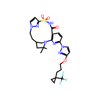 CC1(C)CC2CCn3ccc(n3)S(=O)(=O)NC(=O)c3ccc(-n4ccc(OCCCC5(C(F)(F)F)CC5)n4)nc3N1C2